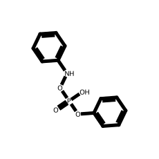 O=P(O)(ONc1ccccc1)Oc1ccccc1